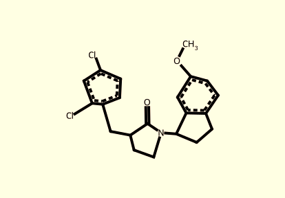 COc1ccc2c(c1)C(N1CCC(Cc3ccc(Cl)cc3Cl)C1=O)CC2